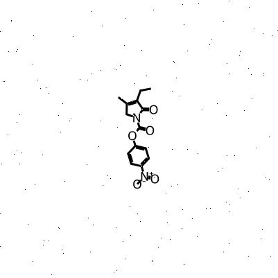 CCC1=C(C)CN(C(=O)Oc2ccc([N+](=O)[O-])cc2)C1=O